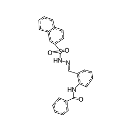 O=C(Nc1ccccc1/C=N/NS(=O)(=O)c1ccc2ccccc2c1)c1ccccc1